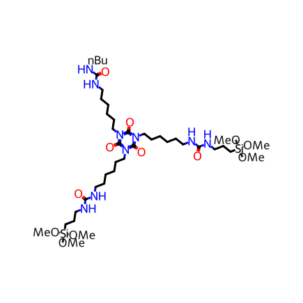 CCCCNC(=O)NCCCCCCn1c(=O)n(CCCCCCNC(=O)NCCC[Si](OC)(OC)OC)c(=O)n(CCCCCCNC(=O)NCCC[Si](OC)(OC)OC)c1=O